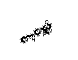 O=c1ccc2ncc(F)c3c2n1C[C@@]3(O)CN1CCC(NCC=Cc2ccccn2)CC1